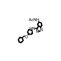 CC(=O)Nc1ccc2ncnc(Nc3ccc(OCc4ccccc4)cc3)c2c1